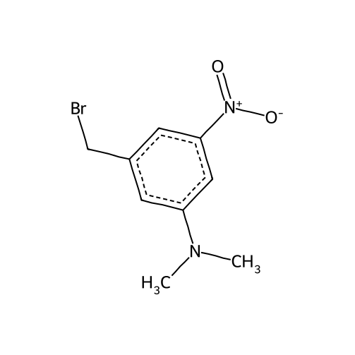 CN(C)c1cc(CBr)cc([N+](=O)[O-])c1